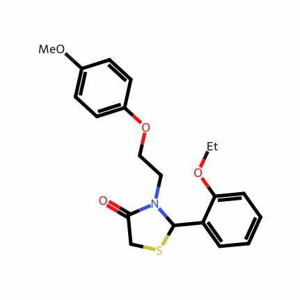 CCOc1ccccc1C1SCC(=O)N1CCOc1ccc(OC)cc1